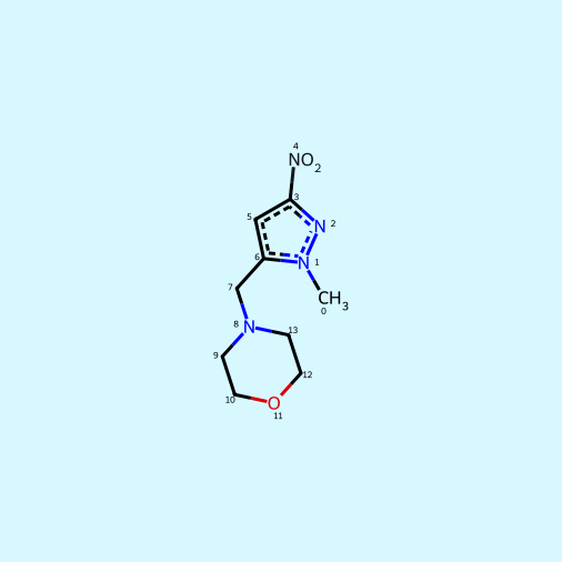 Cn1nc([N+](=O)[O-])cc1CN1CCOCC1